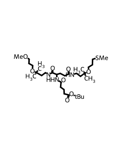 COCCCOC(C)(C)CCNC(=O)C(CCC(=O)NCCC(C)(C)OCCCSC)NC(=O)CCCC(=O)OC(C)(C)C